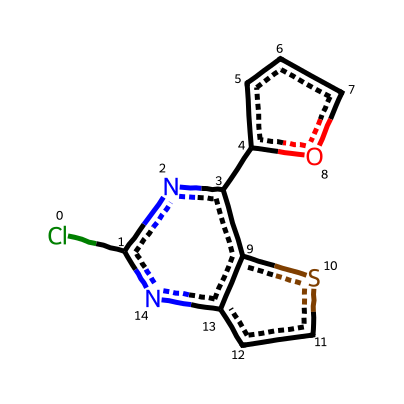 Clc1nc(-c2ccco2)c2sccc2n1